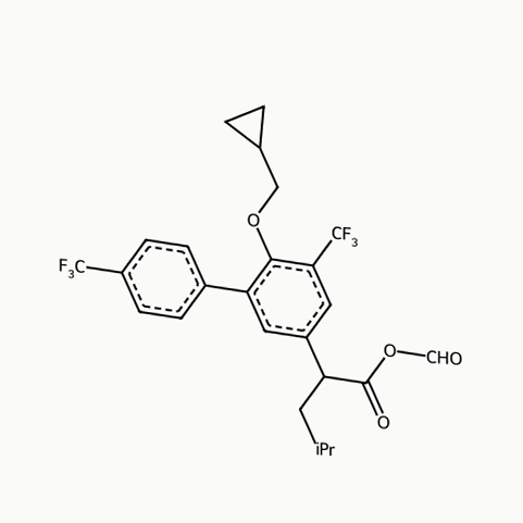 CC(C)CC(C(=O)OC=O)c1cc(-c2ccc(C(F)(F)F)cc2)c(OCC2CC2)c(C(F)(F)F)c1